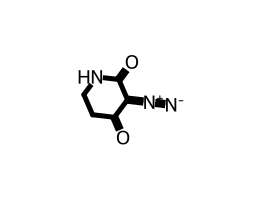 [N-]=[N+]=C1C(=O)CCNC1=O